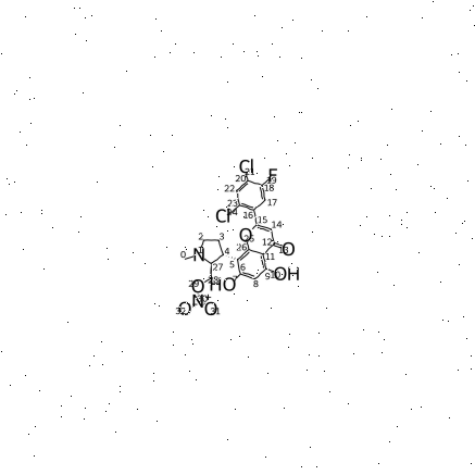 CN1CC[C@H](c2c(O)cc(O)c3c(=O)cc(-c4cc(F)c(Cl)cc4Cl)oc23)[C@H]1CO[N+](=O)[O-]